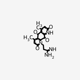 Cc1cc(=O)[nH]c2c1C(=O)c1c(C)cc(=O)n(CCC(=N)N)c1C2=O